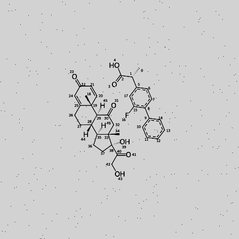 C[C@@H](C(=O)O)c1ccc(-c2ccccc2)c(F)c1.C[C@]12C=CC(=O)C=C1CC[C@@H]1[C@@H]2C(=O)C[C@@]2(C)[C@H]1CC[C@]2(O)C(=O)CO